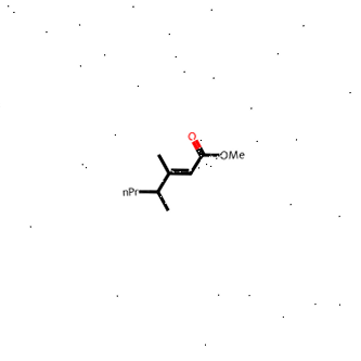 CCCC(C)/C(C)=C/C(=O)OC